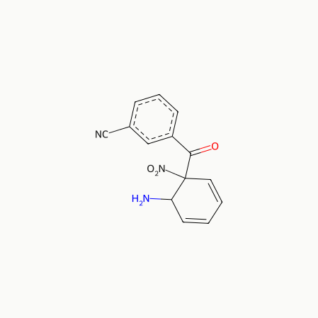 N#Cc1cccc(C(=O)C2([N+](=O)[O-])C=CC=CC2N)c1